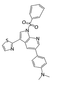 CN(C)c1ccc(-c2cnc3c(c2)c(-c2nccs2)cn3S(=O)(=O)c2ccccc2)cc1